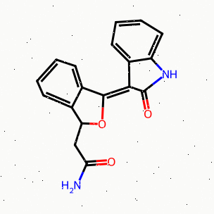 NC(=O)CC1O/C(=C2\C(=O)Nc3ccccc32)c2ccccc21